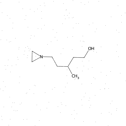 CC(CCO)CCN1CC1